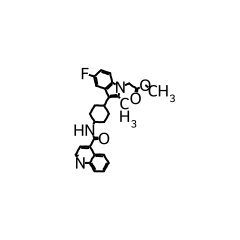 COC(=O)Cn1c(C)c(C2CCC(NC(=O)c3ccnc4ccccc34)CC2)c2cc(F)ccc21